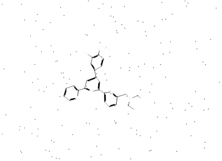 CCOC(=O)CN(CC(=O)OCC)Cc1cccc(-c2cc(-c3ccc(OC)c([N+](=O)[O-])c3)cc(-c3ccccn3)n2)n1